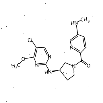 CNc1ccc(C(=O)N2CC[C@@H](Nc3ncc(Cl)c(OC)n3)C2)nc1